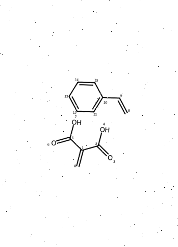 C=C(C(=O)O)C(=O)O.C=Cc1ccccc1